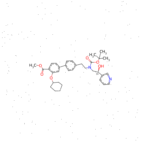 COC(=O)c1ccc(-c2ccc(CCN(C[C@@H](O)c3cccnc3)C(=O)OC(C)(C)C)cc2)cc1OC1CCCCC1